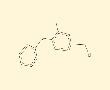 Cc1cc(CCl)ccc1Sc1ccccc1